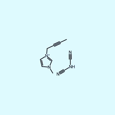 CC#CC[n+]1ccn(C)c1.N#CNC#N